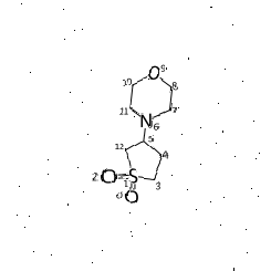 O=S1(=O)CCC(N2CCOCC2)C1